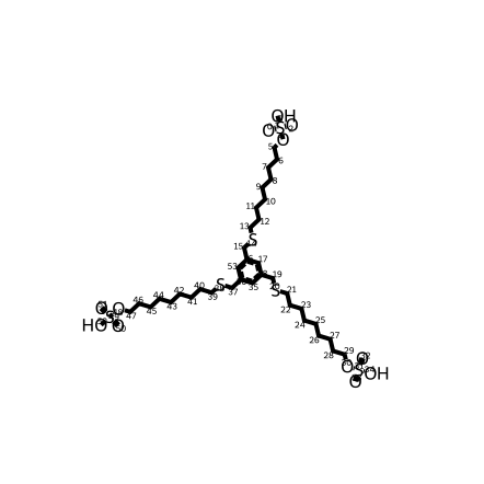 O=S(=O)(O)OCCCCCCCCCSCc1cc(CSCCCCCCCCCOS(=O)(=O)O)cc(CSCCCCCCCCCOS(=O)(=O)O)c1